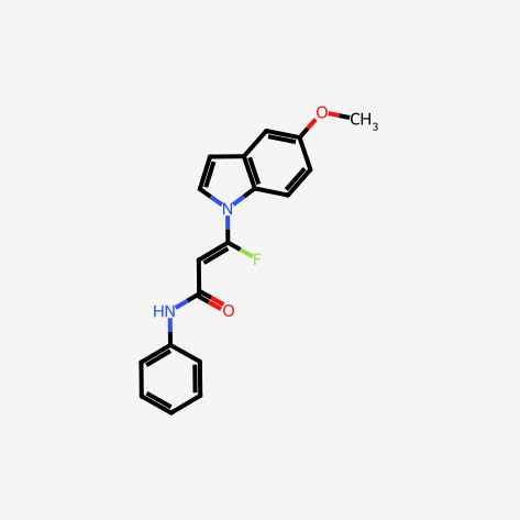 COc1ccc2c(ccn2/C(F)=C/C(=O)Nc2ccccc2)c1